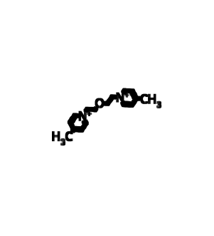 Cc1cc[n+](CCOCC[n+]2ccc(C)cc2)cc1